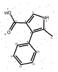 Cc1[nH]cc(C(=O)O)c1-c1ccccc1